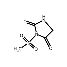 CS(=O)(=O)N1C(=O)CNC1=O